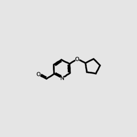 O=Cc1ccc(OC2CCCC2)cn1